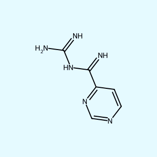 N=C(N)NC(=N)c1ccncn1